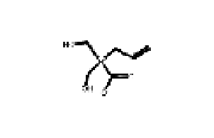 C=CC[N+](CO)(CO)C(=O)[O-]